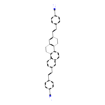 N#Cc1ccc(/C=C/C2=CC3=C(CC2)c2ccc4cc(/C=C/c5ccc(C#N)cc5)ccc4c2CC3)cc1